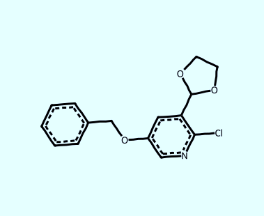 Clc1ncc(OCc2ccccc2)cc1C1OCCO1